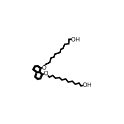 OCCCCCCCCCCCOc1cccc2cccc(OCCCCCCCCCCCO)c12